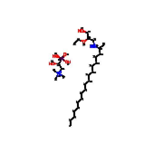 CCCCCCCCCCCCCCCCCC(C)NCC(CO)OCC.C[N+](C)(C)CC(O)P(=O)(O)O